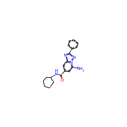 Nc1cc(C(=O)NC2CCCCC2)cc2nc(-c3ccccc3)nn12